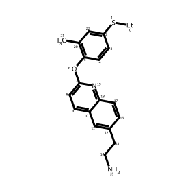 CCSc1ccc(Oc2ccc3cc(CCN)ccc3n2)c(C)c1